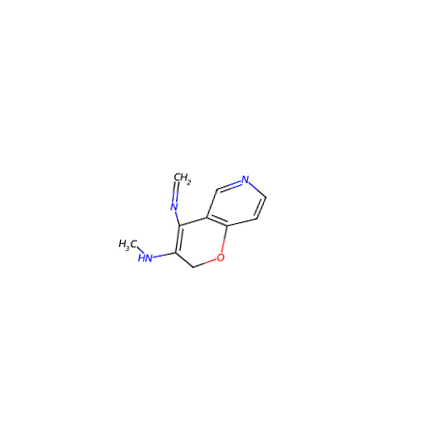 C=NC1=C(NC)COc2ccncc21